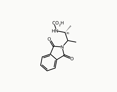 CC([C@@H](C)NC(=O)O)N1C(=O)c2ccccc2C1=O